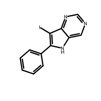 Ic1c(-c2ccccc2)[nH]c2cncnc12